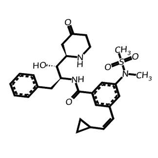 CN(c1cc(/C=C\C2CC2)cc(C(=O)N[C@@H](Cc2ccccc2)[C@H](O)[C@H]2CC(=O)CCN2)c1)S(C)(=O)=O